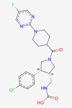 O=C(O)NC[C@H]1CN(C(=O)C2CCN(c3ncc(F)cn3)CC2)C[C@H]1c1ccc(Cl)cc1